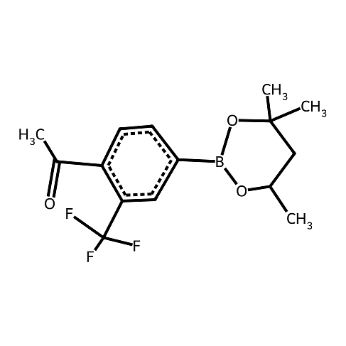 CC(=O)c1ccc(B2OC(C)CC(C)(C)O2)cc1C(F)(F)F